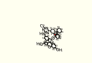 NC1CC(c2nc(Cl)nc(Nc3ccc4c(c3)C(=O)OC43c4ccc(O)cc4Oc4cc(O)ccc43)n2)CCN1C1(c2ccccc2)CCCCC1